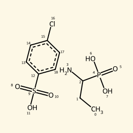 CCC(N)P(=O)(O)O.O=S(=O)(O)c1ccc(Cl)cc1